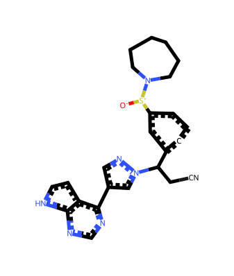 N#CCC(c1cccc([S+]([O-])N2CCCCCC2)c1)n1cc(-c2ncnc3[nH]ccc23)cn1